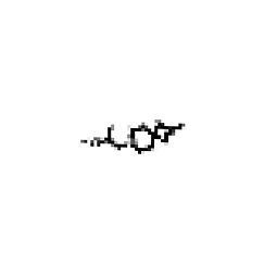 CC1CC2(CCN(CC(C)C(C)(C)C)CC2)C1